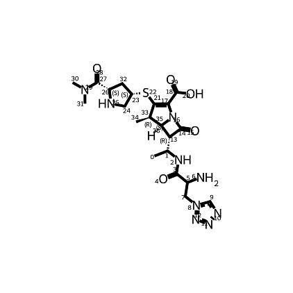 CC(NC(=O)C(N)Cn1cnnn1)[C@H]1C(=O)N2C(C(=O)O)=C(S[C@@H]3CN[C@H](C(=O)N(C)C)C3)[C@H](C)[C@H]12